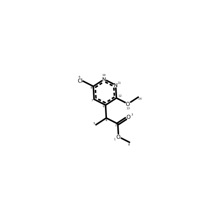 COC(=O)C(C)c1cc(Cl)nnc1OC